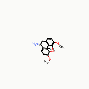 COC1=CC=C2[C@@H](N)Cc3ccc(OC)c4c3[C@]2(C)C1O4